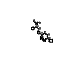 CN(C)C(=O)COc1ccc(Cl)nn1